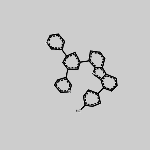 N#Cc1ccc(-c2cccc3c2sc2c(-c4cc(-c5cccnc5)cc(-c5cccnc5)c4)cccc23)cc1